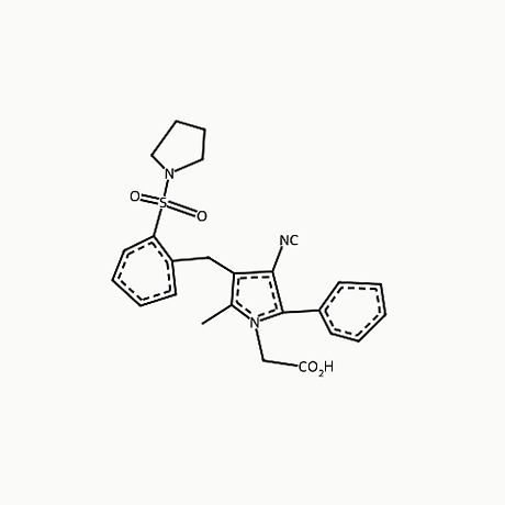 [C-]#[N+]c1c(Cc2ccccc2S(=O)(=O)N2CCCC2)c(C)n(CC(=O)O)c1-c1ccccc1